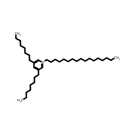 CCCCCCCCCCCCCCCCC[n+]1cc(CCCCCCCC)cc(CCCCCCCC)c1